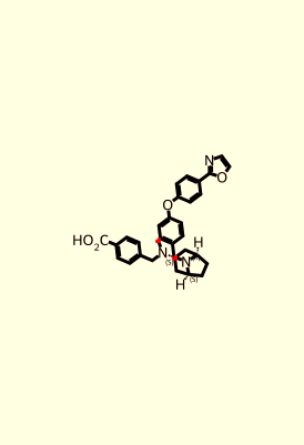 CN(Cc1ccc(C(=O)O)cc1)[C@@H]1C[C@H]2CC[C@@H](C1)N2Cc1ccc(Oc2ccc(-c3ncco3)cc2)cc1